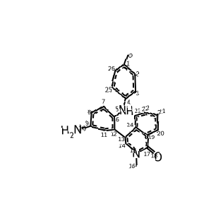 Cc1ccc(Nc2ccc(N)cc2-c2cn(C)c(=O)c3ccccc23)cc1